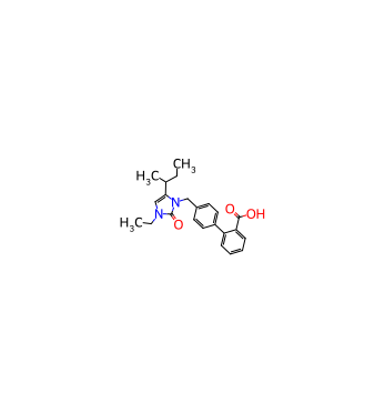 CCC(C)c1cn(CC)c(=O)n1Cc1ccc(-c2ccccc2C(=O)O)cc1